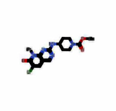 CC(C)n1c(=O)c(Cl)cc2cnc(NC3CCN(C(=O)OC(C)(C)C)CC3)nc21